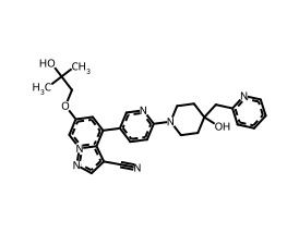 CC(C)(O)COc1cc(-c2ccc(N3CCC(O)(Cc4ccccn4)CC3)nc2)c2c(C#N)cnn2c1